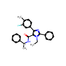 CCn1c(-c2ccccc2)nc(-c2ccc(C)c(F)c2)c1C(=O)N[C@@H](C)c1ccccc1